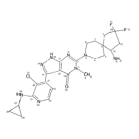 Cn1c(N2CCC3(CC2)CC(F)(F)CC3N)nc2[nH]nc(-c3ccnc(NC4CC4)c3Cl)c2c1=O